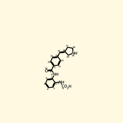 O=C(O)Nc1ccccc1NC(=O)c1ccc(C=C2CCNC2)cc1